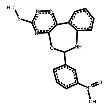 CSc1nnc2c(n1)OC(c1cccc([N+](=O)O)c1)Nc1ccccc1-2